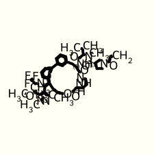 C=CC(=O)N1CC[C@H](C(=O)N(C)C(C(=O)N[C@H]2Cc3cccc(c3)-c3ccc4c(c3)c(c(-c3cnn(C)c3[C@H](C)OC)n4CC(F)(F)F)CC(C)(C)COC(=O)[C@@H]3CCCN(N3)C2=O)C(C)C)C1